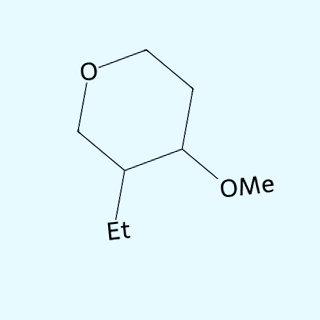 CCC1COCCC1OC